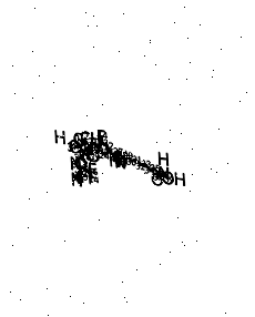 CC1(C)C(=O)N(c2cnc(C#N)c(C(F)(F)F)c2)C(=O)N1Cc1ccc(-c2cn(CCCCCCCC(=O)NO)nn2)cc1F